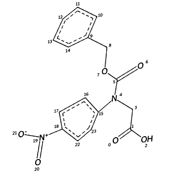 O=C(O)CN(C(=O)OCc1ccccc1)c1ccc([N+](=O)[O-])cc1